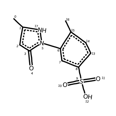 Cc1cc(=O)n(-c2cc(S(=O)(=O)O)ccc2C)[nH]1